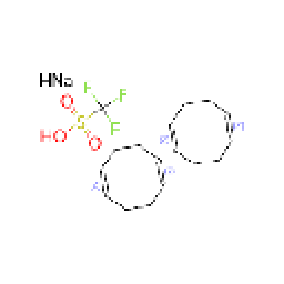 C1=C\CC/C=C\CC/1.C1=C\CC/C=C\CC/1.O=S(=O)(O)C(F)(F)F.[NaH]